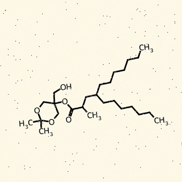 CCCCCCCC(CCCCCCC)CC(C)C(=O)OC1(CO)COC(C)(C)OC1